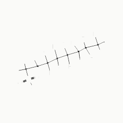 O=S(=O)(O)C(F)(F)C(F)(F)C(F)(F)C(F)(F)C(F)(F)C(F)(F)C(F)(F)C(F)(F)F.[Ti]